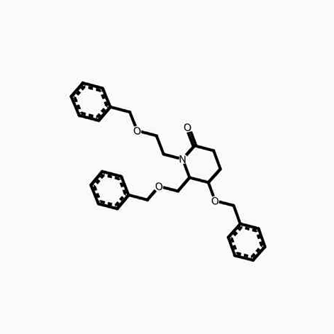 O=C1CCC(OCc2ccccc2)C(COCc2ccccc2)N1CCOCc1ccccc1